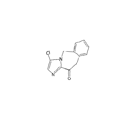 O=C1Cc2ccccc2Cn2c(Cl)cnc21